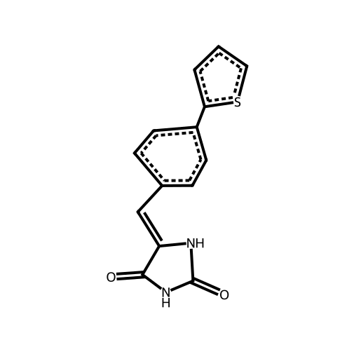 O=C1NC(=O)/C(=C/c2ccc(-c3cccs3)cc2)N1